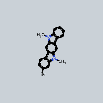 CC(C)c1ccc2c3cc4c(cc3n(C)c2c1)c1ccccc1n4C